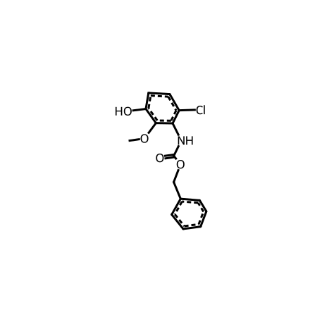 COc1c(O)ccc(Cl)c1NC(=O)OCc1ccccc1